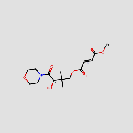 CC(C)OC(=O)/C=C/C(=O)OCC(C)(C)[C@@H](O)C(=O)N1CCOCC1